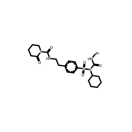 CC(C)NC(=O)N(C1CCCCC1)S(=O)(=O)c1ccc(CCNC(=O)N2CCCCC2=O)cc1